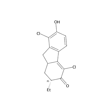 CC[C@@H]1CC2Cc3c(ccc(O)c3Cl)C2=C(Cl)C1=O